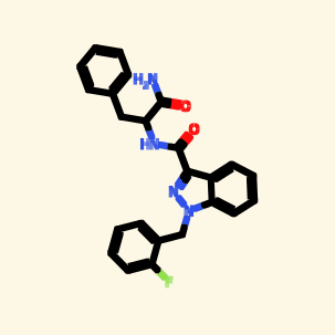 NC(=O)C(Cc1ccccc1)NC(=O)c1nn(Cc2ccccc2F)c2ccccc12